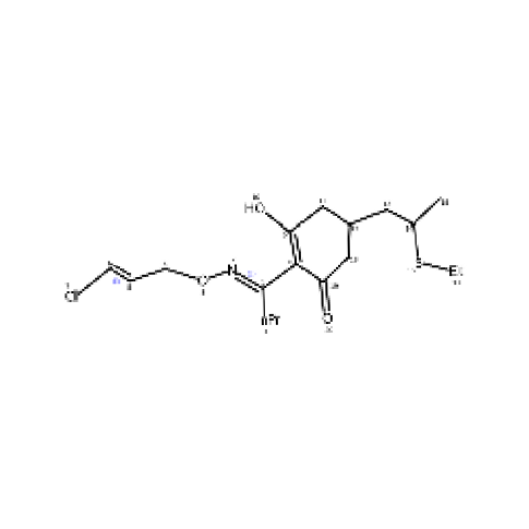 CCC/C(=N\OC/C=C/Cl)C1=C(O)CC(CC(C)SCC)CC1=O